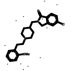 COc1ccccc1CCN1CCC(CN2Cc3cc(Cl)ccc3C2=O)CC1